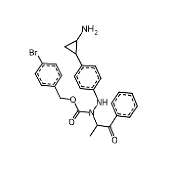 CC(C(=O)c1ccccc1)N(Nc1ccc(C2CC2N)cc1)C(=O)OCc1ccc(Br)cc1